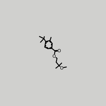 COC(C)(C)CCOC(=O)c1ccc(C(C)(C)C)c(C)c1